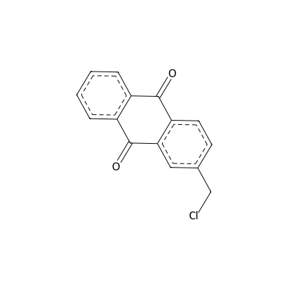 O=C1c2ccccc2C(=O)c2cc(CCl)ccc21